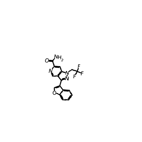 NC(=O)c1cc2c(cn1)c(-c1coc3ccccc13)nn2CC(F)(F)F